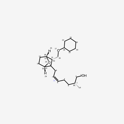 C[C@@H](CO)CC/C=C\CC1[C@@H]2CC[C@@H](O2)[C@@H]1COC1CCCCC1